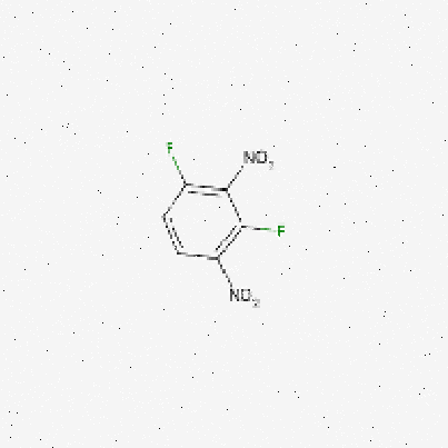 O=[N+]([O-])c1ccc(F)c([N+](=O)[O-])c1F